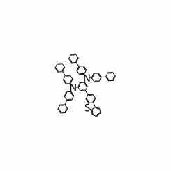 c1ccc(-c2ccc(N(c3ccc(-c4ccccc4)cc3)c3cc(-c4ccc5c(c4)sc4ccccc45)cc(N(c4ccc(-c5ccccc5)cc4)c4ccc(-c5ccccc5)cc4)c3)cc2)cc1